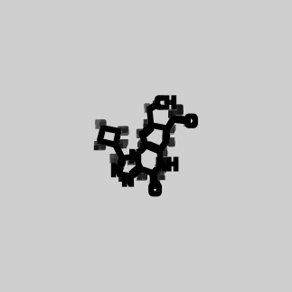 CCc1cc2c(cc1C=O)[nH]c(=O)c1nnc(C3CCC3)n12